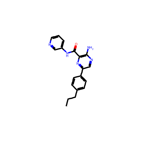 [CH2]CCc1ccc(-c2cnc(N)c(C(=O)Nc3cccnc3)n2)cc1